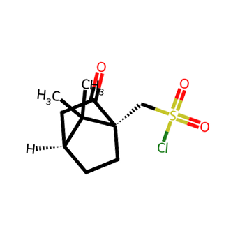 CC1(C)[C@H]2CC[C@]1(CS(=O)(=O)Cl)C(=O)C2